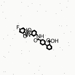 O=C(Nc1ccc(O)c(NS(=O)(=O)c2ccc(F)cc2)c1)c1ccc(-c2ccccc2C(=O)O)cc1